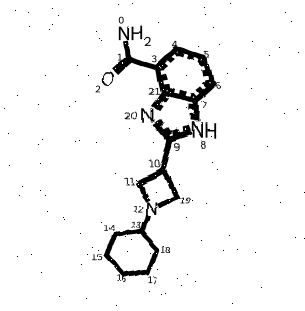 NC(=O)c1cccc2[nH]c(C3CN(C4CCCCC4)C3)nc12